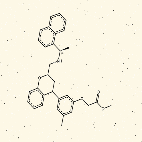 COC(=O)COc1cc(C)cc(C2CC(CN[C@H](C)c3cccc4ccccc34)Oc3ccccc32)c1